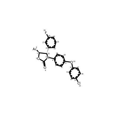 CC(=O)[C@@H]1OC(=O)N(c2ccc(Oc3ccc(Cl)cc3)cc2)[C@H]1c1cccc(F)c1